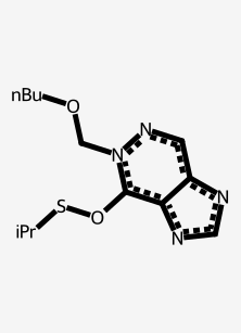 CCCCOCn1ncc2ncnc-2c1OSC(C)C